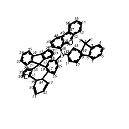 CC1(C)c2ccccc2-c2ccc(N(c3ccc4c(c3)C3(c5ccccc5-c5ccccc53)c3ccccc3C3C=CC=CC43)c3cccc4c3oc3ccccc34)cc21